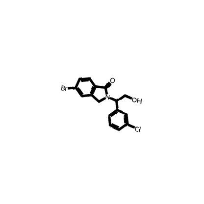 O=C1c2ccc(Br)cc2CN1C(CO)c1cccc(Cl)c1